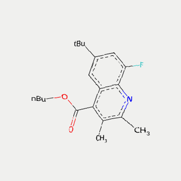 CCCCOC(=O)c1c(C)c(C)nc2c(F)cc(C(C)(C)C)cc12